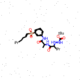 CC(C)CCC=CS(=O)(=O)c1cccc(NC(=O)C(C)NC(=O)C(NNC(=O)OC(C)(C)C)C(C)C)c1